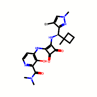 CCc1cn(C)nc1[C@H](Nc1c(Nc2ccnc(C(=O)N(C)C)c2O)c(=O)c1=O)C1(C)CCC1